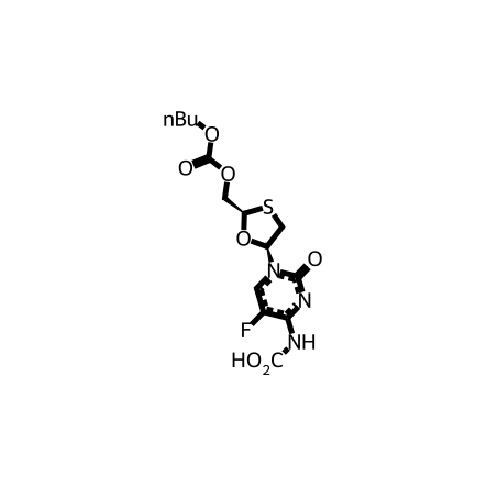 CCCCOC(=O)OC[C@@H]1O[C@H](n2cc(F)c(NC(=O)O)nc2=O)CS1